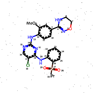 COc1cc(C2=NOCCN2)ccc1Nc1ncc(Cl)c(Nc2ccccc2S(=O)(=O)C(C)C)n1